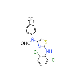 O=CN(c1ccc(C(F)(F)F)cc1)c1csc(Nc2c(Cl)cccc2Cl)n1